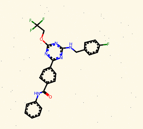 O=C(Nc1ccccc1)c1ccc(-c2nc(NCc3ccc(F)cc3)nc(OCC(F)(F)F)n2)cc1